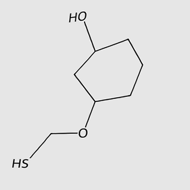 OC1CCCC(OCS)C1